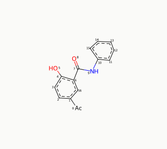 CC(=O)c1ccc(O)c(C(=O)Nc2ccccc2)c1